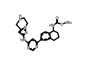 CC(C)(C)OC(=O)NC1CCCc2cc(-c3cc(Nc4cc5n(n4)CCNC5)ncn3)ccc21